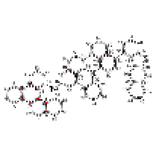 c1ccc(-c2ccccc2-c2cccc(N(c3cccc(-c4ccccc4N(c4ccc(-c5cccc6sc7cc8ccccc8cc7c56)cc4)c4ccccc4-c4ccccc4)c3)c3ccccc3-c3ccccc3)c2)cc1